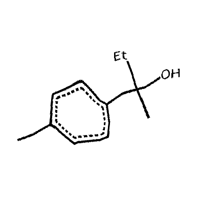 CCC(C)(O)c1ccc(C)cc1